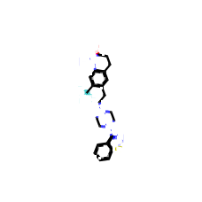 O=C1CCc2cc(CCN3CCN(c4nsc5ccccc45)CC3)c(C(F)(F)F)cc2N1